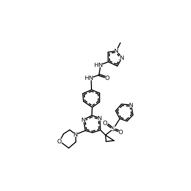 Cn1cc(NC(=O)Nc2ccc(-c3nc(N4CCOCC4)cc(C4(S(=O)(=O)c5ccncc5)CC4)n3)cc2)cn1